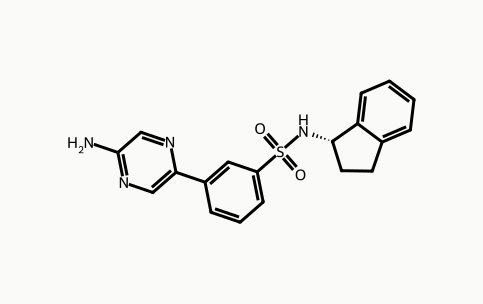 Nc1cnc(-c2cccc(S(=O)(=O)N[C@H]3CCc4ccccc43)c2)cn1